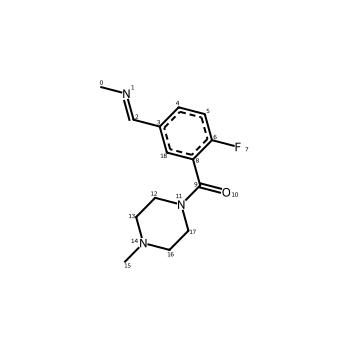 C/N=C/c1ccc(F)c(C(=O)N2CCN(C)CC2)c1